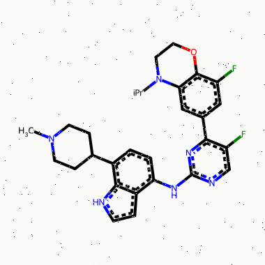 CC(C)N1CCOc2c(F)cc(-c3nc(Nc4ccc(C5CCN(C)CC5)c5[nH]ccc45)ncc3F)cc21